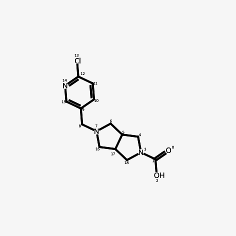 O=C(O)N1CC2CN(Cc3ccc(Cl)nc3)CC2C1